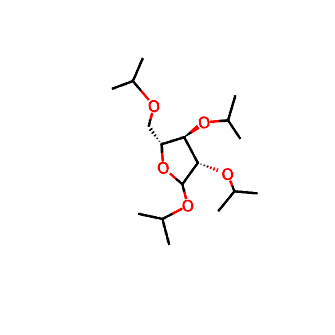 CC(C)OC[C@H]1OC(OC(C)C)[C@@H](OC(C)C)[C@@H]1OC(C)C